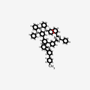 Cc1ccc(-c2ccc3c(c2)c2ccccc2n3-c2ccc(-c3nc(-c4ccccc4)nc(-c4ccccc4)n3)cc2-c2cccc(-c3cc4c5c(c3)N(c3ccccc3)c3ccccc3B5c3ccccc3N4c3ccccc3)c2)cc1